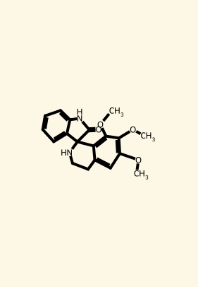 COc1cc2c(c(OC)c1OC)C1(NCC2)C(=O)Nc2ccccc21